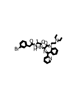 CCN(CC)CCN1C(=O)C(NC(=O)[C@H](C)NC(=O)Cc2cccc(Br)c2)N=C(c2ccccn2)c2ccccc21